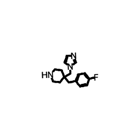 Fc1ccc(CC2(Cn3ccnc3)CCNCC2)cc1